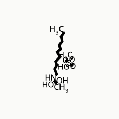 CCCCCCCCCCCCNC(C)(O)O.COS(=O)(=O)O